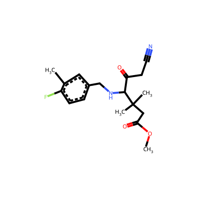 COC(=O)CC(C)(C)C(NCc1ccc(F)c(C)c1)C(=O)CC#N